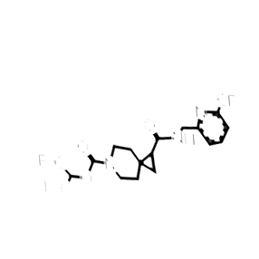 O=C(NCc1cccc(C(F)(F)F)n1)C1CC12CCN(C(=O)OC(C(F)(F)F)C(F)(F)F)CC2